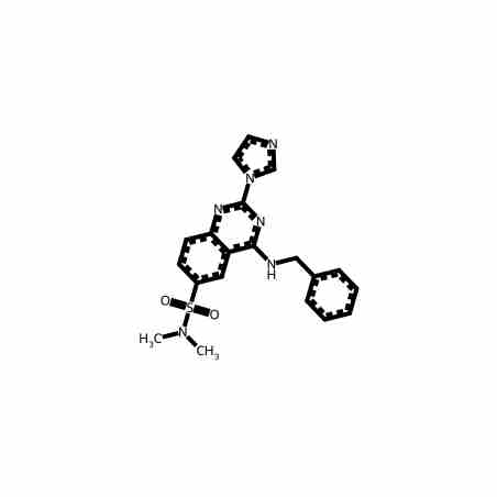 CN(C)S(=O)(=O)c1ccc2nc(-n3ccnc3)nc(NCc3ccccc3)c2c1